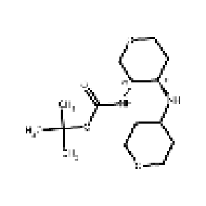 CC(C)(C)OC(=O)N[C@@H]1COCC[C@H]1NC1CCOCC1